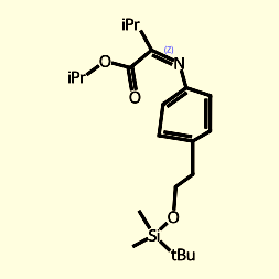 CC(C)OC(=O)/C(=N\c1ccc(CCO[Si](C)(C)C(C)(C)C)cc1)C(C)C